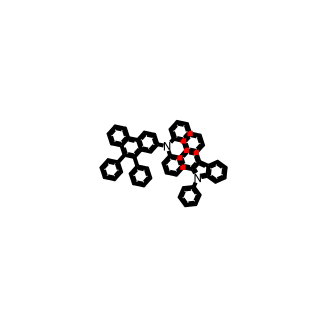 c1ccc(-c2ccccc2N(c2ccc3c(c2)c(-c2ccccc2)c(-c2ccccc2)c2ccccc23)c2ccccc2-c2ccc3c(c2)c2ccccc2n3-c2ccccc2)cc1